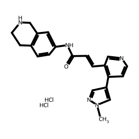 Cl.Cl.Cn1cc(-c2ccncc2C=CC(=O)Nc2ccc3c(c2)CNCC3)cn1